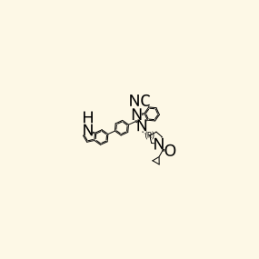 N#Cc1cccc2c1nc(-c1ccc(-c3ccc4cc[nH]c4c3)cc1)n2C[C@@H]1CCN(C(=O)C2CC2)C1